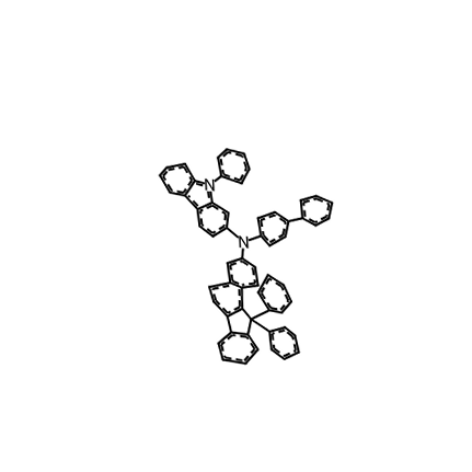 c1ccc(-c2ccc(N(c3ccc4c5c(ccc4c3)-c3ccccc3C5(c3ccccc3)c3ccccc3)c3ccc4c5ccccc5n(-c5ccccc5)c4c3)cc2)cc1